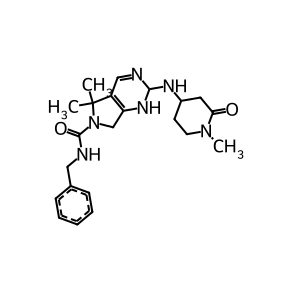 CN1CCC(NC2N=CC3=C(CN(C(=O)NCc4ccccc4)C3(C)C)N2)CC1=O